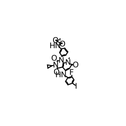 Cn1c(=O)cc(Nc2ccc(I)cc2F)c2c(=O)n(C3CC3)c(=O)n(-c3cccc(NS(C)(=O)=O)c3)c21